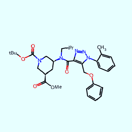 COC(=O)[C@@H]1C[C@H](N(CC(C)C)C(=O)c2nnn(-c3ccccc3C)c2COc2ccccc2)CN(C(=O)OC(C)(C)C)C1